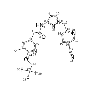 Cc1cc(CC(=O)Nc2ccn(Cc3ccc(C#N)cn3)n2)cnc1OCC(F)(F)F